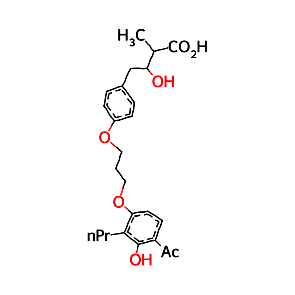 CCCc1c(OCCCOc2ccc(CC(O)C(C)C(=O)O)cc2)ccc(C(C)=O)c1O